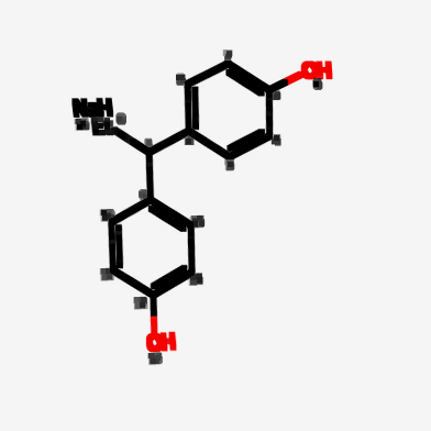 CCC(c1ccc(O)cc1)c1ccc(O)cc1.[NaH]